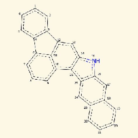 c1ccc2c(c1)-c1cccc3c1c-2cc1[nH]c2cc4ccccc4cc2c13